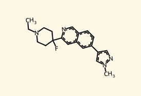 CCN1CCC(F)(c2cc3cc(-c4cnn(C)c4)ccc3cn2)CC1